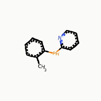 Cc1ccccc1Pc1ccccn1